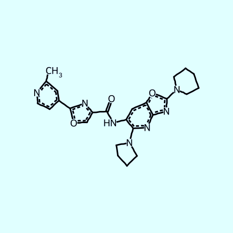 Cc1cc(-c2nc(C(=O)Nc3cc4oc(N5CCCCC5)nc4nc3N3CCCC3)co2)ccn1